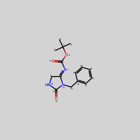 CC(C)(C)OC(=O)N=C1CNC(=O)N1Cc1ccccc1